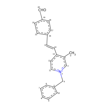 Cc1c[n+](Cc2ccccc2)ccc1/C=C/c1ccc(C=O)cc1